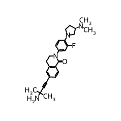 CN(C)[C@@H]1CCN(c2ccc(N3CCc4cc(C#CC(C)(C)N)ccc4C3=O)cc2F)C1